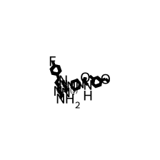 COc1ccc(NC(=O)N2CCN(c3nc(N)nc4cc(-c5ccc(F)cc5)nn34)[C@@H](C)C2)c(C)c1